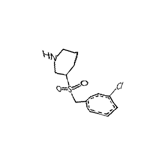 O=S(=O)(Cc1cccc(Cl)c1)C1CCCNC1